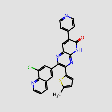 Cc1ccc(-c2nc3[nH]c(=O)c(-c4ccncc4)cc3nc2-c2cc(Cl)c3ncccc3c2)s1